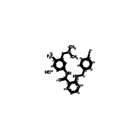 CN(C)Cc1cc(NC(=O)c2nccnc2NCc2ccc(F)cc2)ccc1C(F)(F)F.Cl